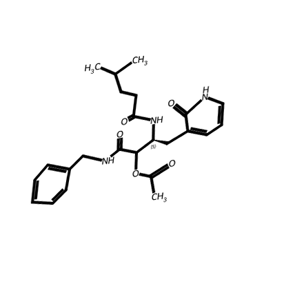 CC(=O)OC(C(=O)NCc1ccccc1)[C@H](Cc1ccc[nH]c1=O)NC(=O)CCC(C)C